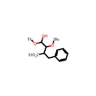 CCOC(=O)C(Cc1ccccc1)C(OC(C)(C)C)C(O)OCC